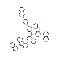 c1ccc2cc(-c3ccc(-c4ccc(N(c5ccc(-c6cccc7c6c6ccccc6n7-c6cccc7ccccc67)c6ccccc56)c5ccc(-c6cccc7ccccc67)c6oc7ccccc7c56)cc4)cc3)ccc2c1